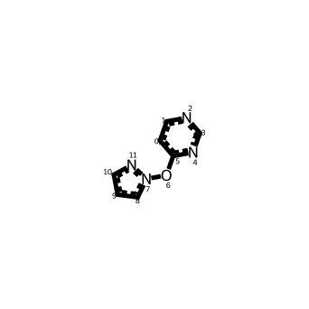 [c]1cncnc1On1cccn1